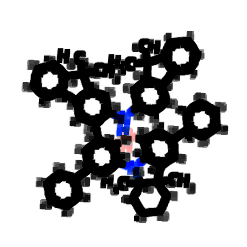 CC1(C)c2ccccc2-c2ccc(Nc3cc4c(cc3-c3cc(-c5ccccc5)cc5c3Bc3cc(-c6ccccc6)cc6c3N5C3(C)CCCCC63C)-c3ccccc3C4(C)C)cc21